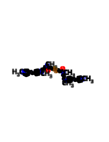 CN1C=CC=C(/C=C/c2ccc(N(C)CCCN(C)C(=O)CCSSCCC(=O)N(C)CCCN(C)c3ccc(/C=C/c4cc[n+](C)cc4)cc3)cc2)C=C1